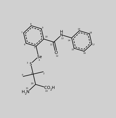 CC(C)(S[Se]c1ccccc1C(=O)Nc1ccccc1)C(N)C(=O)O